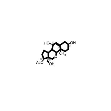 CC(=O)O[C@H]1CCC2C3C(OC[C@@]21CO)[C@@]1(C)CC[C@H](O)CC1=C[C@@H]3O